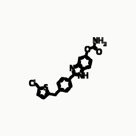 NC(=O)Oc1ccc2[nH]c(-c3ccc(Cc4ccc(Cl)s4)cc3)nc2c1